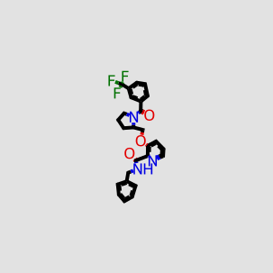 O=C(NCc1ccccc1)c1ncccc1OCC1CCCN1C(=O)c1cccc(C(F)(F)F)c1